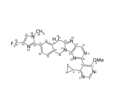 COc1ncnc(C2CC2)c1-c1ncc2nc(C)n(Cc3ccc(-c4nc(C(F)(F)F)cn4C)cc3)c2n1